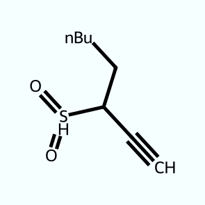 C#CC(CCCCC)[SH](=O)=O